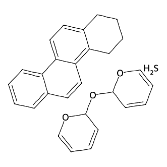 C1=COC(OC2C=CC=CO2)C=C1.S.c1ccc2c(c1)ccc1c3c(ccc12)CCCC3